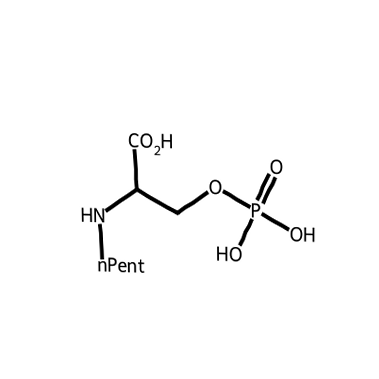 CCCCCNC(COP(=O)(O)O)C(=O)O